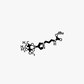 CC(C)(C)OC(=O)NCCCn1cc(B2OC(C)(C)C(C)(C)O2)cn1